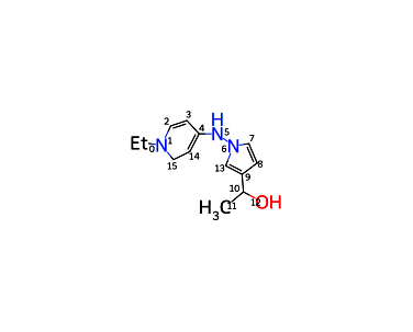 CCN1C=CC(Nn2ccc(C(C)O)c2)=CC1